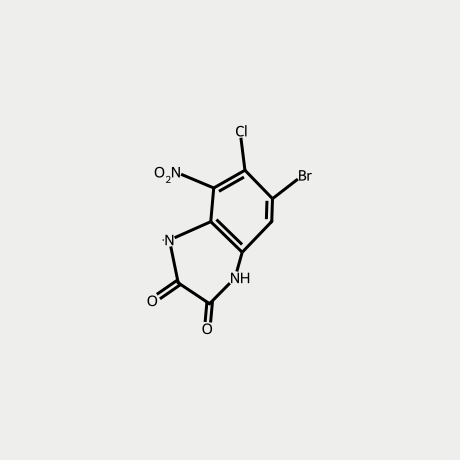 O=C1[N]c2c(cc(Br)c(Cl)c2[N+](=O)[O-])NC1=O